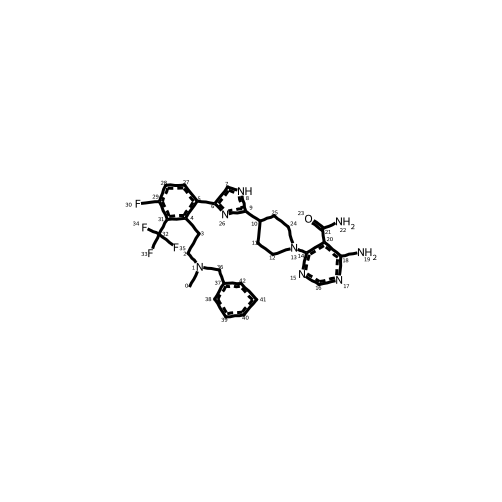 CN(CCc1c(-c2c[nH]c(C3CCN(c4ncnc(N)c4C(N)=O)CC3)n2)ccc(F)c1C(F)(F)F)Cc1ccccc1